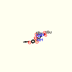 CC#CCOc1ccc(S(=O)(=O)N[C@H](CCCNC(=O)OC(C)(C)C)C(=O)NOC(C)(C)C)cc1